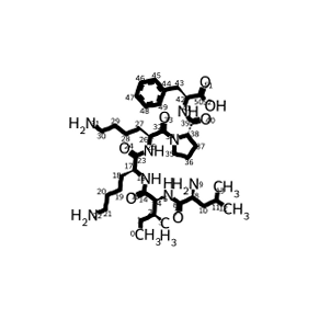 CC[C@H](C)[C@H](NC(=O)[C@@H](N)CC(C)C)C(=O)N[C@@H](CCCCN)C(=O)N[C@@H](CCCCN)C(=O)N1CCC[C@H]1C(=O)N[C@@H](Cc1ccccc1)C(=O)O